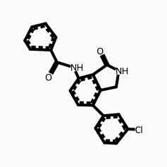 O=C(Nc1ccc(-c2cccc(Cl)c2)c2c1C(=O)NC2)c1ccccc1